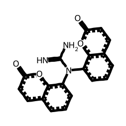 N=C(N)N(c1cccc2ccc(=O)oc12)c1cccc2ccc(=O)oc12